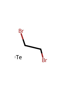 BrCCBr.[Te]